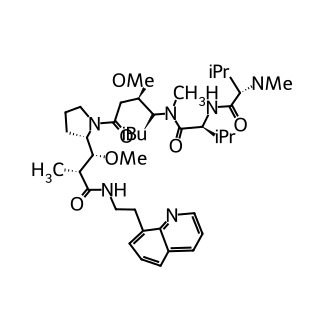 CC[C@H](C)C([C@@H](CC(=O)N1CCC[C@H]1[C@H](OC)[C@@H](C)C(=O)NCCc1cccc2cccnc12)OC)N(C)C(=O)[C@@H](NC(=O)[C@@H](NC)C(C)C)C(C)C